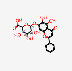 O=C(O)C1O[C@@H](Oc2cc3oc(-c4ccccc4)cc(=O)c3c(O)c2O)[C@H](O)[C@@H](O)[C@@H]1O